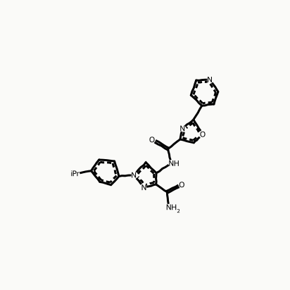 CC(C)c1ccc(-n2cc(NC(=O)c3coc(-c4ccncc4)n3)c(C(N)=O)n2)cc1